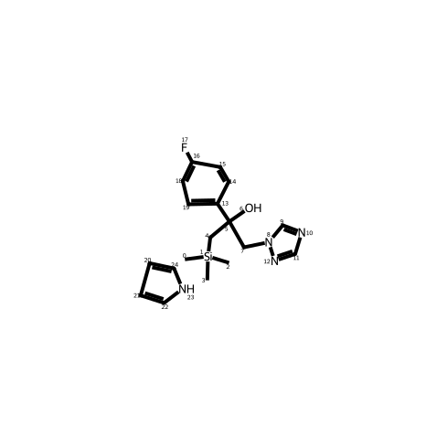 C[Si](C)(C)CC(O)(Cn1cncn1)c1ccc(F)cc1.c1cc[nH]c1